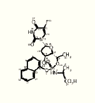 CC(N[P@](=O)(Oc1cccc2ccccc12)OC(C)[C@H]1O[C@@H](n2cc(F)c(=O)[nH]c2=O)C[C@@H]1O)C(=O)O